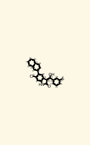 O=C1Nc2cc(Cl)c(-c3ccc4ccccc4c3)cc2C1=C(O)c1cccc(F)c1